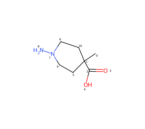 CC1(C(=O)O)CCN(N)CC1